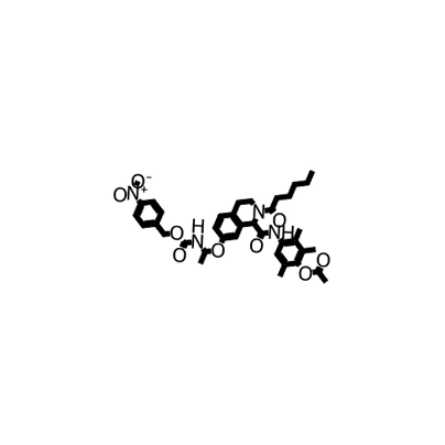 CCCCCC(=O)N1CCc2ccc(OC(C)NC(=O)OCc3ccc([N+](=O)[O-])cc3)cc2C1C(=O)Nc1cc(C)c(OC(C)=O)c(C)c1C